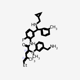 CC/C=C(/C=C(/C(=O)Nc1cc(C(NCC2CC2)c2cccc(C)c2)ccc1F)N(C)c1cccc(CN)c1)C(F)(F)F